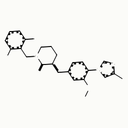 COc1cc(/C=C2\CCCN(Cc3c(F)cccc3F)C2=O)ccc1-n1cnc(C)c1